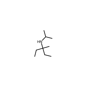 CCC(C)(CC)NC(C)C